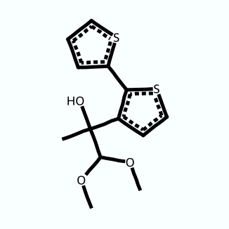 COC(OC)C(C)(O)c1ccsc1-c1cccs1